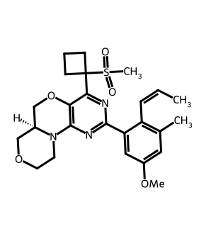 C/C=C\c1c(C)cc(OC)cc1-c1nc2c(c(C3(S(C)(=O)=O)CCC3)n1)OC[C@@H]1COCCN21